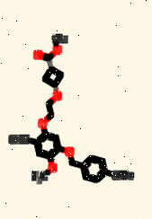 COc1ccc(COc2cc(OCCO[C@H]3C[C@@H](C(=O)OC(C)(C)C)C3)c(C=O)cc2OC(F)(F)F)cc1